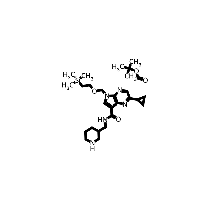 CC(C)(C)OC=O.C[Si](C)(C)CCOCn1cc(C(=O)NCC2CCCNC2)c2nc(C3CC3)cnc21